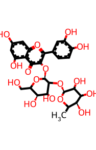 CC1O[C@@H](OC2C(O)[C@@H](O)C(CO)O[C@H]2Oc2c(-c3ccc(O)c(O)c3)oc3cc(O)cc(O)c3c2=O)C(O)C(O)[C@H]1O